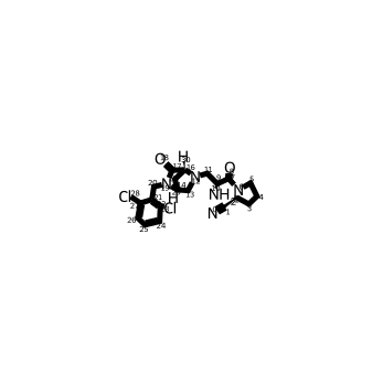 N#C[C@@H]1CCCN1C(=O)[C@@H](N)CN1C[C@@H]2C[C@H]1C(=O)N2Cc1c(Cl)cccc1Cl